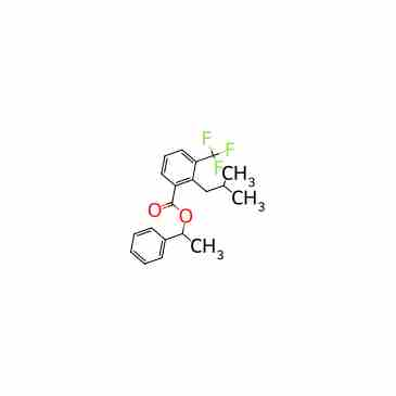 CC(C)Cc1c(C(=O)OC(C)c2ccccc2)cccc1C(F)(F)F